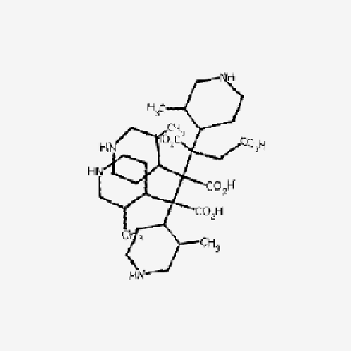 CC1CNCCC1C(CC(=O)O)(C(=O)O)C(C(=O)O)(C1CCNCC1C)C(C(=O)O)(C1CCNCC1C)C1CCNCC1C